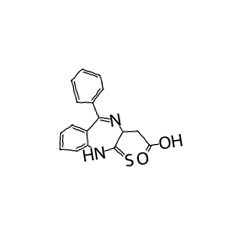 O=C(O)CC1N=C(c2ccccc2)c2ccccc2NC1=S